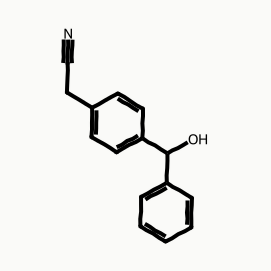 N#CCc1ccc(C(O)c2ccccc2)cc1